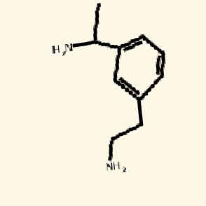 CC(N)c1cccc(CCN)c1